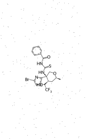 C[C@H]1C[C@@H](C(O)C(F)(F)F)[C@](NC(=S)NC(=O)c2ccccc2)(c2nc(Br)cs2)CO1